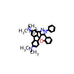 Cc1nn(-c2ccccc2)c2c1C1(Oc3ccccc3-2)c2ccc(N(C)C)cc2-c2cc(N(C)C)ccc21